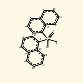 C=S(C)(C)(c1cccc2ccccc12)c1cccc2ccccc12